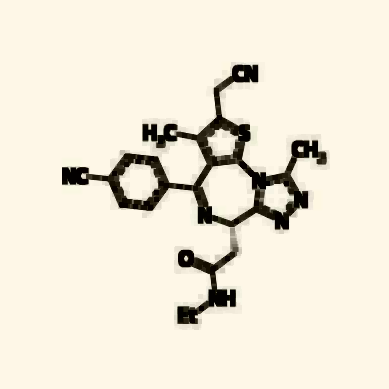 CCNC(=O)C[C@@H]1N=C(c2ccc(C#N)cc2)c2c(sc(CC#N)c2C)-n2c(C)nnc21